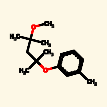 COC(C)(C)CC(C)(C)Oc1cccc(C)c1